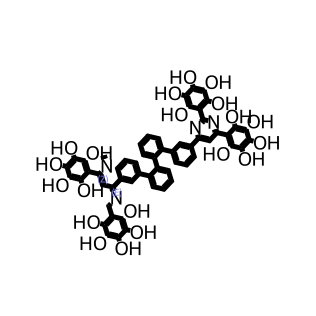 C=N/C(=C\C(=N/Cc1c(O)c(O)c(O)c(O)c1O)c1cccc(-c2ccccc2-c2ccccc2-c2cccc(-c3cc(-c4c(O)c(O)c(O)c(O)c4O)nc(-c4c(O)c(O)c(O)c(O)c4O)n3)c2)c1)c1c(O)c(O)c(O)c(O)c1O